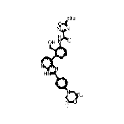 C[C@@H]1CN(c2ccc(-c3nc4c(-c5cccc(NC(=O)c6noc(C(C)(C)C)n6)c5CO)ccnc4[nH]3)cc2)C[C@H](C)O1